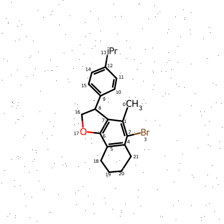 Cc1c(Br)c2c(c3c1C(c1ccc(C(C)C)cc1)CO3)CCCC2